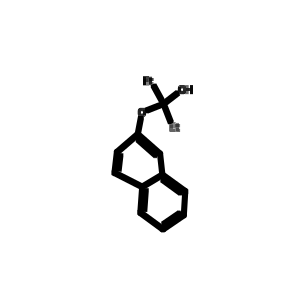 CCC(O)(CC)Oc1ccc2ccccc2c1